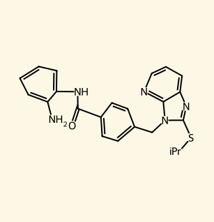 CC(C)Sc1nc2cccnc2n1Cc1ccc(C(=O)Nc2ccccc2N)cc1